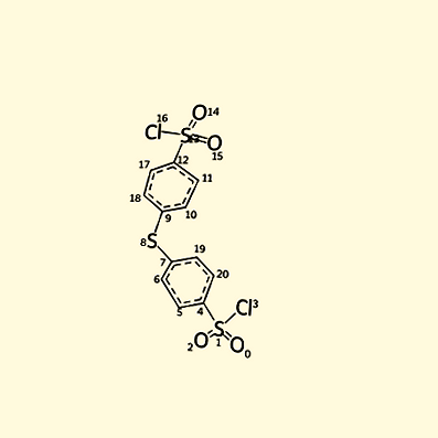 O=S(=O)(Cl)c1ccc(Sc2ccc(S(=O)(=O)Cl)cc2)cc1